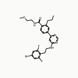 CCCc1cc(-c2cc(NCCc3c(F)cc(Br)cc3F)ncn2)ccc1C(=O)NCCOC